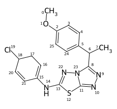 COc1ccc(C(C)c2nnc3sc(NC4=CCC(Cl)C=C4)nn23)cc1